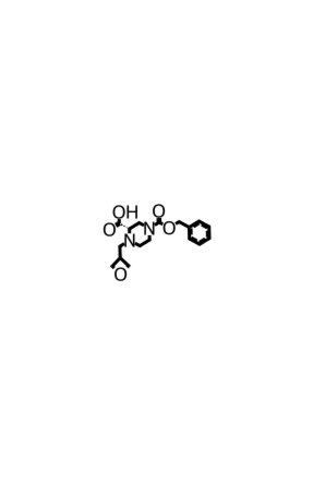 O=C(O)[C@@H]1CN(C(=O)OCc2ccccc2)CCN1CC1COC1